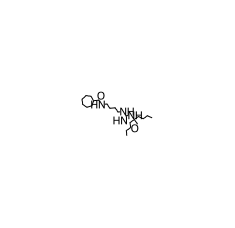 CCCCC(C=O)(CCCC)NC(=N)NCCCCNC(=O)C1CCCCCC1